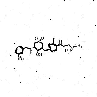 CN(C)CCNc1ccc(C[C@@H]2CS(=O)(=O)C[C@H](NCc3cccc(C(C)(C)C)c3)[C@H]2O)cc1F